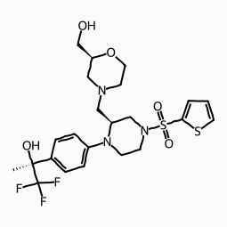 C[C@](O)(c1ccc(N2CCN(S(=O)(=O)c3cccs3)C[C@@H]2CN2CCO[C@H](CO)C2)cc1)C(F)(F)F